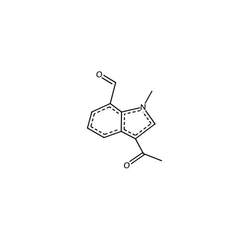 CC(=O)c1cn(C)c2c(C=O)cccc12